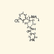 NC[C@]1(c2cccc(Cl)c2)CC[C@H](NC(=O)c2ccncc2)CC1